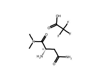 CN(C)C(=O)[C@@H](N)CC(N)=O.O=C(O)C(F)(F)F